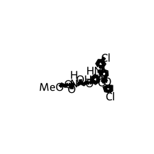 COCCOC(=O)NCC(O)CCOc1ccc([C@H]2C3=C(CCN2C(=O)Oc2ccc(Cl)cc2)C2C=C(Cl)C=CC2N3)cc1